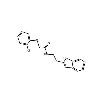 O=C(COc1ccccc1Cl)NCCc1cc2ccccc2[nH]1